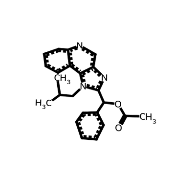 CC(=O)OC(c1ccccc1)c1nc2cnc3ccccc3c2n1CC(C)C